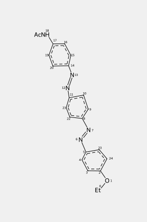 CCOc1ccc(N=Nc2ccc(N=Nc3ccc(NC(C)=O)cc3)cc2)cc1